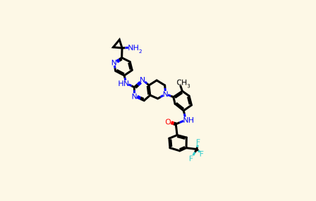 Cc1ccc(NC(=O)c2cccc(C(F)(F)F)c2)cc1N1CCc2nc(Nc3ccc(C4(N)CC4)nc3)ncc2C1